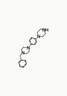 c1ccc(CN2CCN(c3ccc(N4CCNCC4)cc3)CC2)cc1